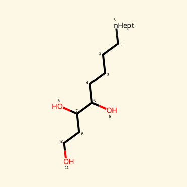 CCCCCCCCCCCC(O)C(O)CCO